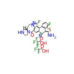 N#Cc1c(N)sc2c(F)ccc(-c3c(F)cc4c5c3c(F)nn5CC[C@H]3CNCCN3C4=O)c12.O=C(O)C(F)(F)F.O=C(O)C(F)(F)F